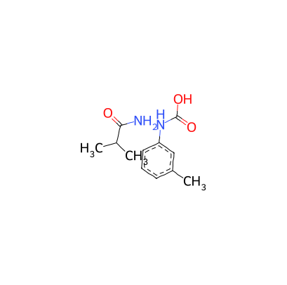 CC(C)C(N)=O.Cc1cccc(NC(=O)O)c1